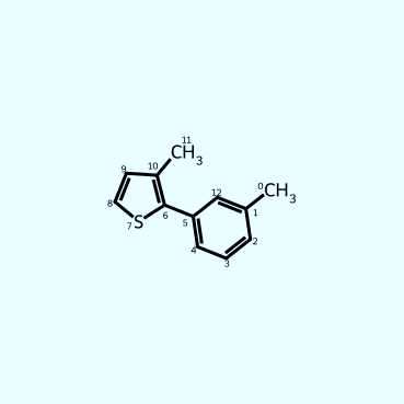 Cc1cccc(-c2sccc2C)c1